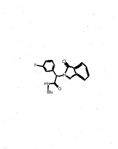 CC(C)(C)NC(=O)C(c1cccc(F)c1)N1Cc2ccccc2C1=O